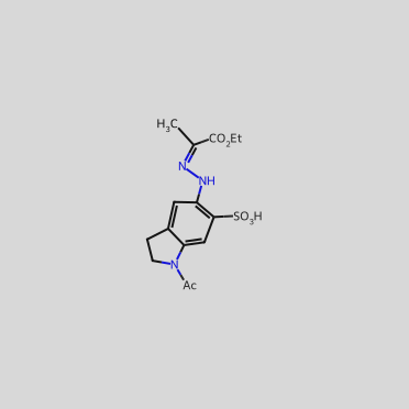 CCOC(=O)/C(C)=N\Nc1cc2c(cc1S(=O)(=O)O)N(C(C)=O)CC2